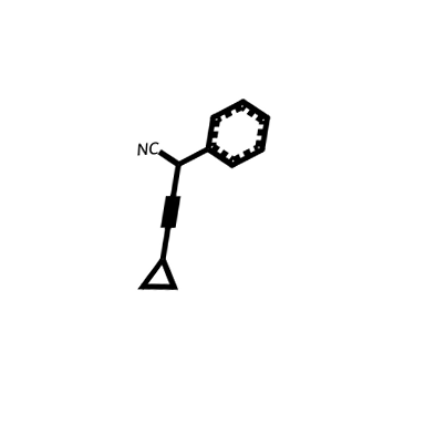 N#CC(C#CC1CC1)c1ccccc1